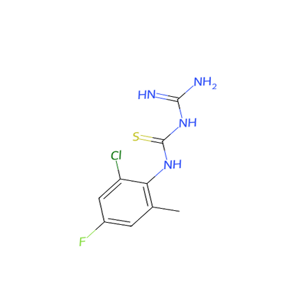 Cc1cc(F)cc(Cl)c1NC(=S)NC(=N)N